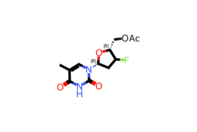 CC(=O)OC[C@H]1O[C@@H](n2cc(C)c(=O)[nH]c2=O)CC1F